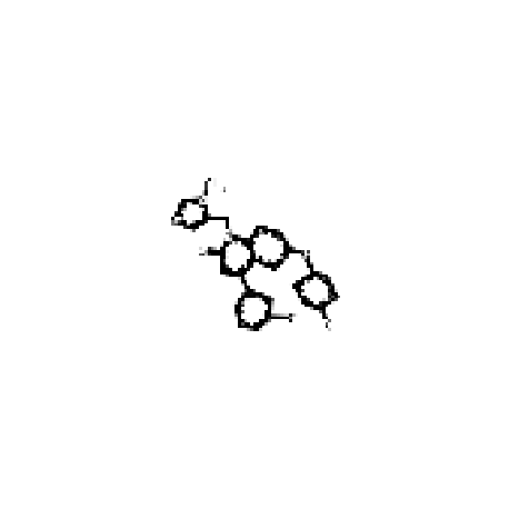 Cn1cncc1Cn1c(=O)cc(-c2cccc(Cl)c2)c2cc(Oc3ccc(Cl)cc3)ccc21